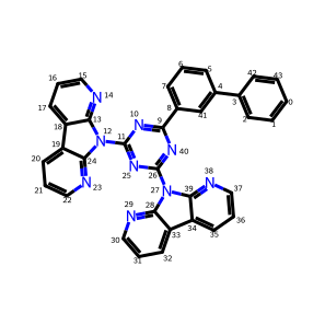 c1ccc(-c2cccc(-c3nc(-n4c5ncccc5c5cccnc54)nc(-n4c5ncccc5c5cccnc54)n3)c2)cc1